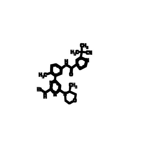 CCNc1nc(-c2cc(NC(=O)c3ccnc(C(C)(C)C#N)c3)ccc2C)cc(N2CCOC[C@@H]2C)n1